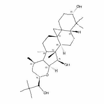 C[C@@H]1C[C@H](C(O)C(C)(C)C)O[C@H]2C1[C@@]1(C)CC[C@@]34CC35CC[C@H](O)C(C)(C)[C@@H]5CC[C@H]4[C@]1(C)[C@H]2O